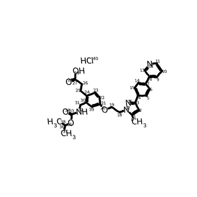 Cc1cc(-c2ccc(-c3cccnc3)cc2)nn1CCOc1ccc(CCC(=O)O)c(CNC(=O)OC(C)C)c1.Cl